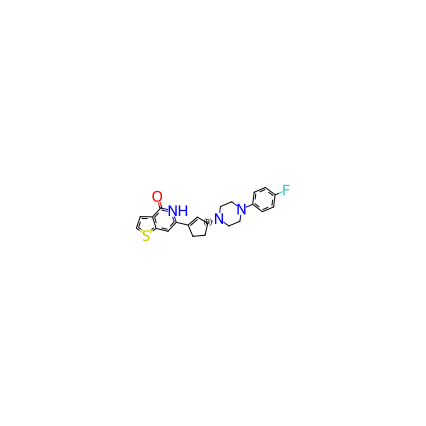 O=c1[nH]c(C2=C[C@H](N3CCN(c4ccc(F)cc4)CC3)CC2)cc2sccc12